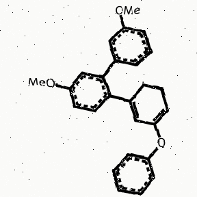 COc1cccc(-c2cc(OC)ccc2C2=CC(Oc3ccccc3)=CC[CH]2)c1